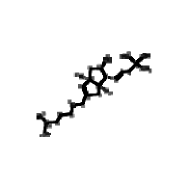 CCCC[C@](C)(O)C/C=C/[C@@H]1[C@H]2CC(COCCCN(C(C)C)C(C)C)=C[C@H]2C[C@H]1O